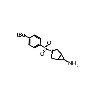 CC(C)(C)c1ccc(S(=O)(=O)N2CC3C(N)C3C2)cc1